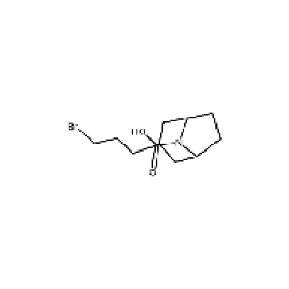 O=C(O)N1C2CCC1CC(CCCBr)C2